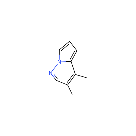 Cc1cnn2cccc2c1C